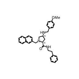 COc1ccc(CN[C@H]2C[C@@H](C(=O)NCCc3ccccc3)N(Cc3ccc4ccccc4c3)C2)cc1